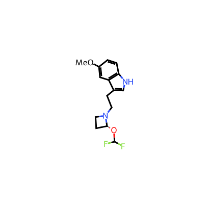 COc1ccc2[nH]cc(CCN3CC[C@H]3OC(F)F)c2c1